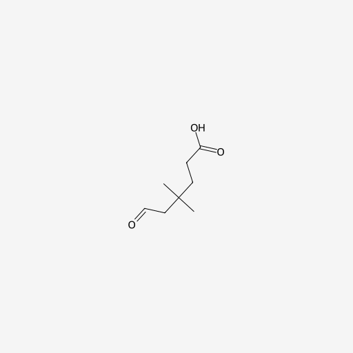 CC(C)(CC=O)CCC(=O)O